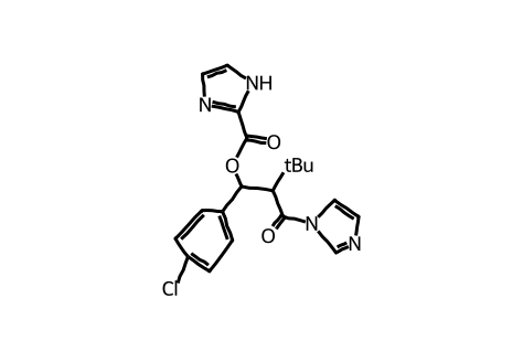 CC(C)(C)C(C(=O)n1ccnc1)C(OC(=O)c1ncc[nH]1)c1ccc(Cl)cc1